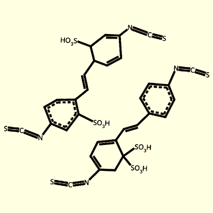 O=S(=O)(O)C1(S(=O)(=O)O)CC(N=C=S)=CC=C1C=Cc1ccc(N=C=S)cc1.O=S(=O)(O)c1cc(N=C=S)ccc1C=CC1C=CC(N=C=S)=CC1S(=O)(=O)O